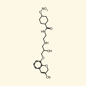 N#CC1=Cc2cccc(OCC(O)CNCCNC(=O)C3CCC(O[N+](=O)[O-])CC3)c2OC1